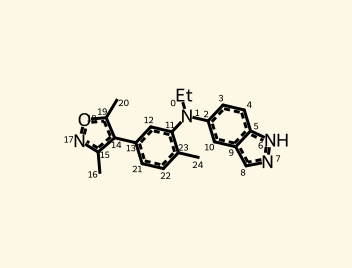 CCN(c1ccc2[nH]ncc2c1)c1cc(-c2c(C)noc2C)ccc1C